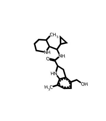 Cc1ccc(CO)c2c1NC(C(=O)NC(C1CC1)C1NCCCC1C)C2